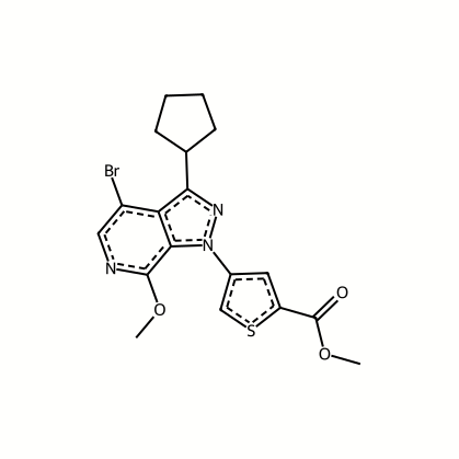 COC(=O)c1cc(-n2nc(C3CCCC3)c3c(Br)cnc(OC)c32)cs1